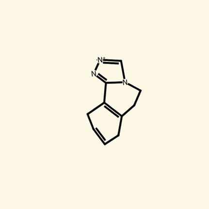 C1=CCC2=C(C1)CCN1C=[N+]N=C21